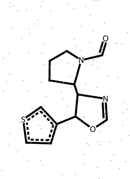 O=CN1CCCC1C1N=COC1c1ccsc1